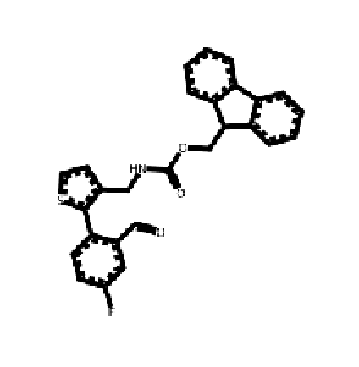 O=Cc1cc(F)ccc1-c1sccc1CNC(=O)OCC1c2ccccc2-c2ccccc21